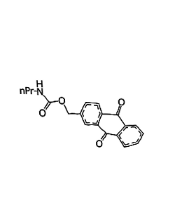 CCCNC(=O)OCc1ccc2c(c1)C(=O)c1ccccc1C2=O